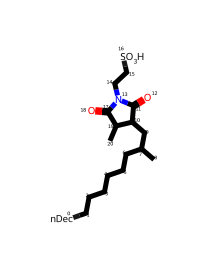 CCCCCCCCCCCCCCCCC(C)CC1C(=O)N(CCS(=O)(=O)O)C(=O)C1C